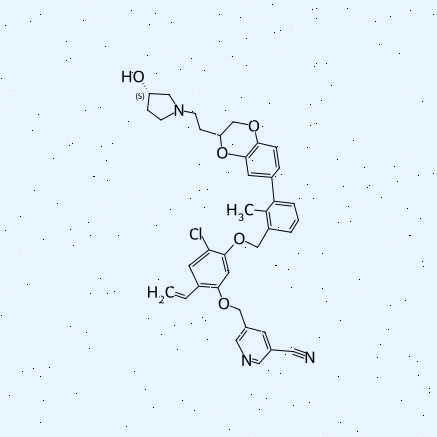 C=Cc1cc(Cl)c(OCc2cccc(-c3ccc4c(c3)OC(CCN3CC[C@H](O)C3)CO4)c2C)cc1OCc1cncc(C#N)c1